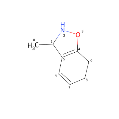 CC1NOC2=C1C=CCC2